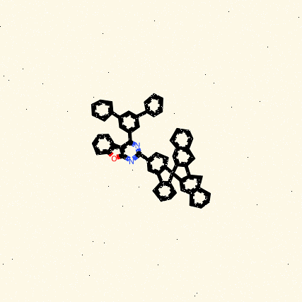 c1ccc(-c2cc(-c3ccccc3)cc(-c3nc(-c4ccc5c(c4)-c4ccccc4C54c5cc6ccccc6cc5-c5cc6ccccc6cc54)nc4oc5ccccc5c34)c2)cc1